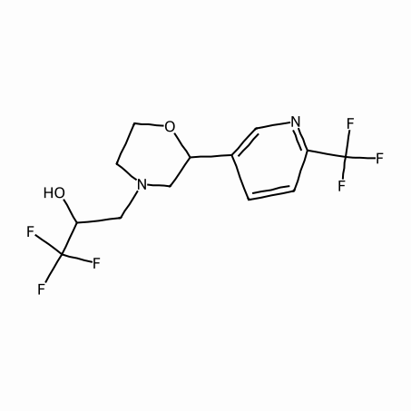 OC(CN1CCOC(c2ccc(C(F)(F)F)nc2)C1)C(F)(F)F